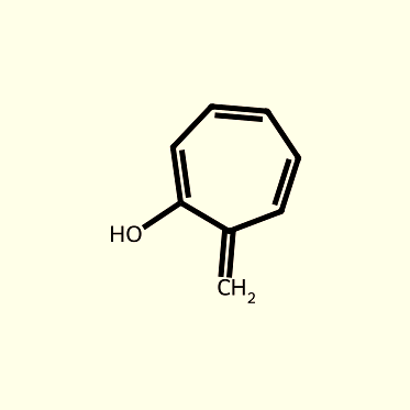 C=C1C=CC=CC=C1O